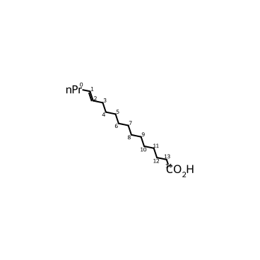 CCCC=CCCCCCCCCCCCC(=O)O